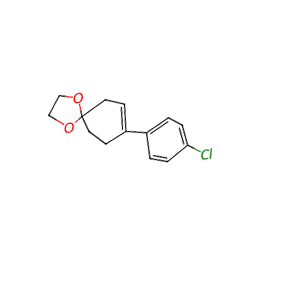 Clc1ccc(C2=CCC3(CC2)OCCO3)cc1